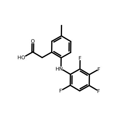 Cc1ccc(Nc2c(F)cc(F)c(F)c2F)c(CC(=O)O)c1